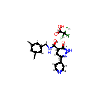 Cc1cc(C)cc(CNC(=O)c2cc(-c3ccncc3)n[nH]c2=O)c1.O=C(O)C(F)(F)F